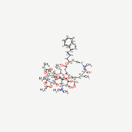 CCC(=O)O[C@@H]1CC(=O)O[C@@H](C/C=C/c2csc3ccccc23)CCCN(C)C[C@H](O)[C@H](C)C[C@H](CC=O)[C@H](O[C@@H]2OC(C)[C@@H](O[C@H]3CC(C)(OC(C)=O)[C@@H](OC(=O)CC)C(C)O3)C(N(C)C)C2O)[C@H]1OC